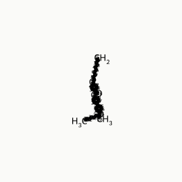 C=CCCCCCCCCOc1ccc(C(=O)Oc2ccc(-c3ccc(OC(C)CCCCCC)cc3)cc2)cc1